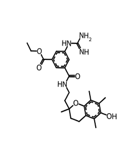 CCOC(=O)c1cc(NC(=N)N)cc(C(=O)NCCC2(C)CCc3c(C)c(O)c(C)c(C)c3O2)c1